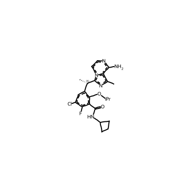 Cc1nc([C@@H](C)c2cc(Cl)c(F)c(C(=O)NC3CCC3)c2OC(C)C)n2ccnc(N)c12